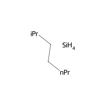 CCCCCC(C)C.[SiH4]